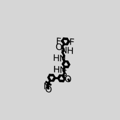 COc1ccc(-c2cccc(C(C)(C)N=O)c2)cc1SNc1cccc(NCCNC(=O)c2cc(F)ccc2F)c1